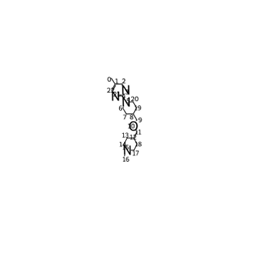 Cc1cnc(N2CCC(COCC3CCN(C)CC3)CC2)nc1